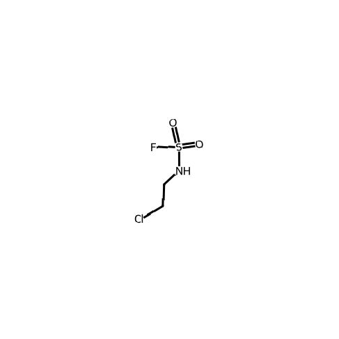 O=S(=O)(F)NCCCl